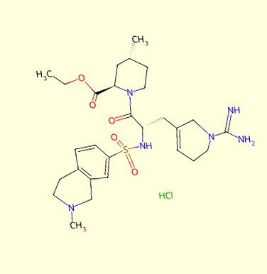 CCOC(=O)[C@H]1C[C@H](C)CCN1C(=O)[C@H](CC1=CCCN(C(=N)N)C1)NS(=O)(=O)c1ccc2c(c1)CN(C)CC2.Cl